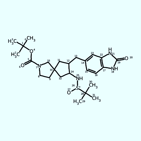 CC(C)(C)OC(=O)N1CCC2(CC(Cc3ccc4[nH]c(=O)[nH]c4c3)C(N[S+]([O-])C(C)(C)C)C2)C1